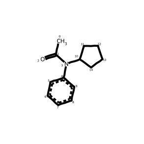 CC(=O)N(c1c[c]ccc1)C1CCCC1